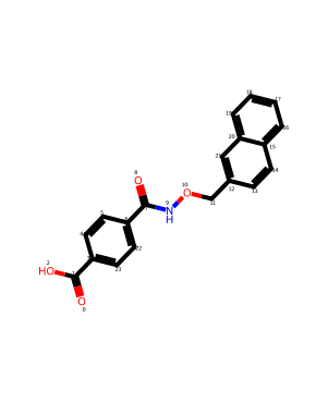 O=C(O)c1ccc(C(=O)NOCc2ccc3ccccc3c2)cc1